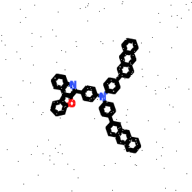 c1ccc2cc3cc(-c4ccc(N(c5ccc(-c6ccc7cc8ccccc8cc7c6)cc5)c5ccc(-c6nc7ccccc7c7c6oc6ccccc67)cc5)cc4)ccc3cc2c1